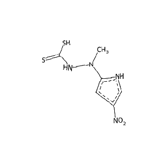 CN(NC(=S)S)c1cc([N+](=O)[O-])c[nH]1